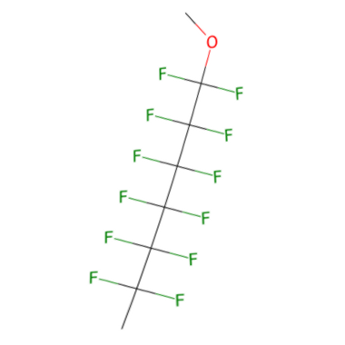 COC(F)(F)C(F)(F)C(F)(F)C(F)(F)C(F)(F)C(C)(F)F